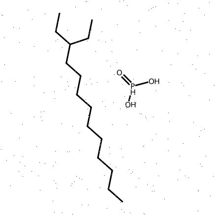 CCCCCCCCCCC(CC)CC.O=[PH](O)O